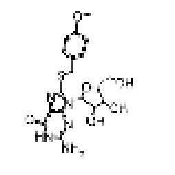 COc1ccc(CSc2nc3c(=O)[nH]c(N)nc3n2[C@@H]2O[C@H](CO)[C@@H](O)[C@H]2O)cc1